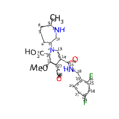 COC1=C(C(=O)O)N(C2CCCC(C)NC2)C=C(C(=O)NCc2ccc(F)cc2F)C1=C=O